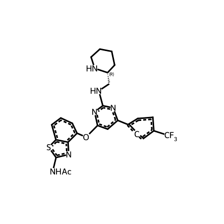 CC(=O)Nc1nc2c(Oc3cc(-c4ccc(C(F)(F)F)cc4)nc(NC[C@H]4CCCCN4)n3)cccc2s1